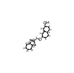 Oc1ccc2ccc(OCc3nc4ccccc4s3)cc2c1